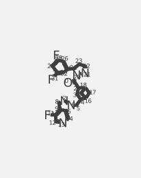 O=C(C1CC(Cn2ncc3c(F)cncc32)C2CC1C2)N1N=CCC1c1cc(F)cc(F)c1